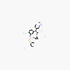 Cc1cnc2c(c1)S(=O)(=O)N(Cc1cc(C(c3ccn4c(C(F)(F)F)nnc4c3C)C(C)CC(=O)O)ccc1C#N)CC1(CC1)O2